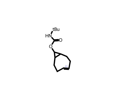 CC(C)(C)NC(=O)OC1C2CC/C=C/CCC21